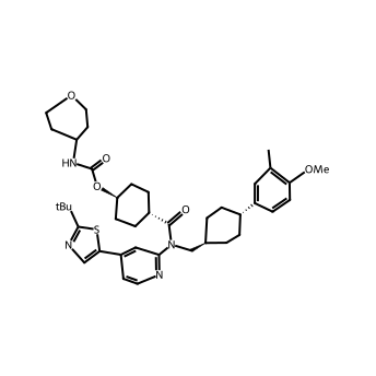 COc1ccc([C@H]2CC[C@H](CN(c3cc(-c4cnc(C(C)(C)C)s4)ccn3)C(=O)[C@H]3CC[C@H](OC(=O)NC4CCOCC4)CC3)CC2)cc1C